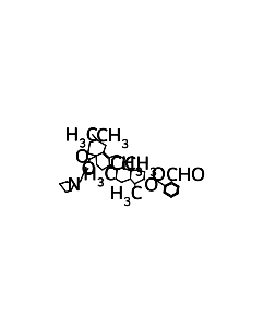 CC1C(OC(=O)c2ccccc2C=O)CCC2(C)C1CCC1(C)C2CCC2=C3CC(C)(C)CCC3(C(=O)OCCN3CCCC3)CCC21C